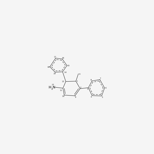 CC1C(c2ccccc2)=CC=C(N)C1c1ccccc1